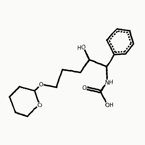 O=C(O)NC(c1ccccc1)C(O)CCCOC1CCCCO1